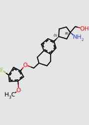 COc1cc(F)cc(OCC2CCc3cc([C@H]4CC[C@](N)(CO)C4)ccc3C2)c1